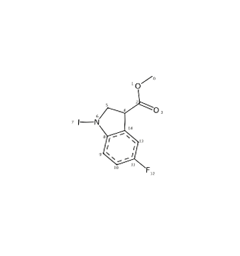 COC(=O)C1CN(I)c2ccc(F)cc21